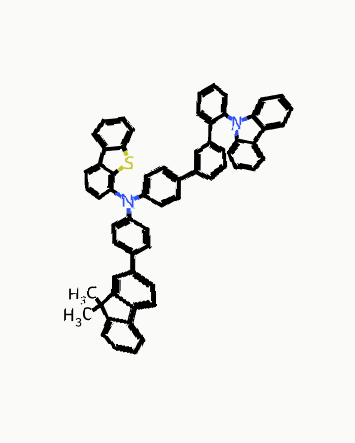 CC1(C)c2ccccc2-c2ccc(-c3ccc(N(c4ccc(-c5cccc(-c6ccccc6-n6c7ccccc7c7ccccc76)c5)cc4)c4cccc5c4sc4ccccc45)cc3)cc21